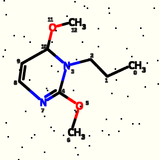 CCCN1C(OC)=NC=CC1OC